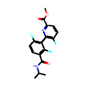 COC(=O)c1ccc(F)c(-c2c(F)ccc(C(=O)NC(C)C)c2F)n1